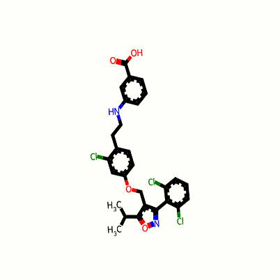 CC(C)c1onc(-c2c(Cl)cccc2Cl)c1COc1ccc(CCNc2cccc(C(=O)O)c2)c(Cl)c1